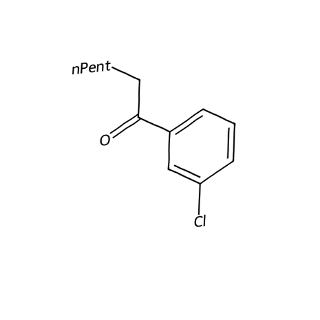 [CH2]CCCCCC(=O)c1cccc(Cl)c1